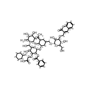 CCC1CC(CO[C@H]2OC(CO)[C@@H](O)C(OCc3cc4ccccc4oc3=O)C2O)C[C@@H](O[C@@H]2OC(CO)[C@H](O)C(O[C@@H](CC3CCCCC3)C(=O)O)C2OC(=O)c2ccccc2)C1O[C@@H]1OC(C)[C@@H](O)C(O)C1O